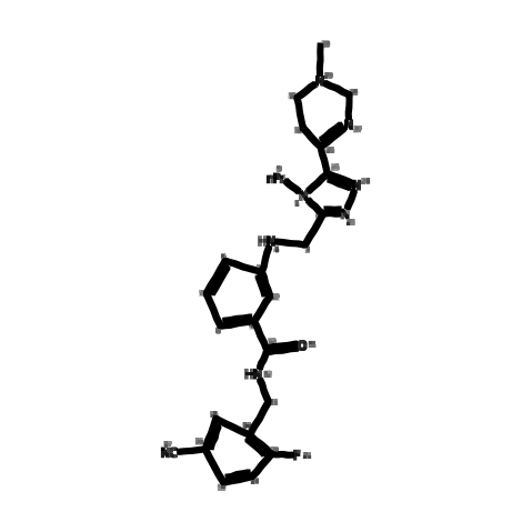 CCCn1c(CNc2cccc(C(=O)NCc3cc(C#N)ccc3F)c2)nnc1C1=NCN(C)CC1